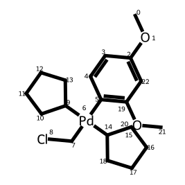 COc1cc[c]([Pd]([CH2]Cl)([CH]2CCCC2)[CH]2CCCC2)c(OC)c1